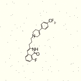 O=c1[nH]c(CCCN2CC=C(c3ccc(C(F)(F)F)cc3)CC2)cc2cccc(F)c12